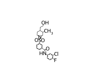 CC1CN(S(=O)(=O)c2cccc(C(=O)Nc3ccc(F)c(Cl)c3)c2)CCC1CCO